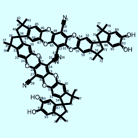 CC1(C)CC2(CC(C)(C)c3cc4oc5c(C#N)c6oc7cc8c(cc7oc6c(C#N)c5oc4cc32)C(C)(C)CC82CC(C)(C)c3cc4oc5c(C#N)c6oc7cc8c(cc7oc6c(C#N)c5oc4cc32)C(C)(C)CC82CC(C)(C)c3cc(O)c(O)cc32)c2cc(O)c(O)cc21